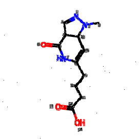 CN1N=CC2C(=O)NC(CCCC(=O)O)=CC21